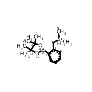 C[SH](C)Cc1ccccc1B1OC(C)(C)C(C)(C)O1